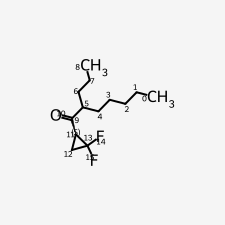 CCCCCC(CCC)C(=O)[C@@H]1CC1(F)F